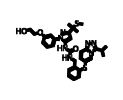 CSC(C)(C)c1cc(NC(=O)NCc2ccccc2Sc2ccc3nnc(C(C)C)n3c2)n(-c2cccc(OCCO)c2)n1